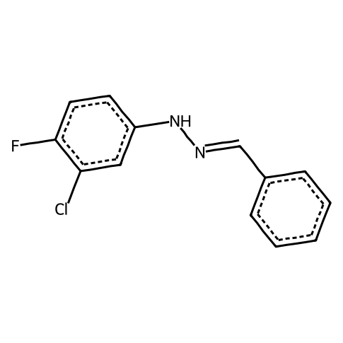 Fc1ccc(N/N=C/c2ccccc2)cc1Cl